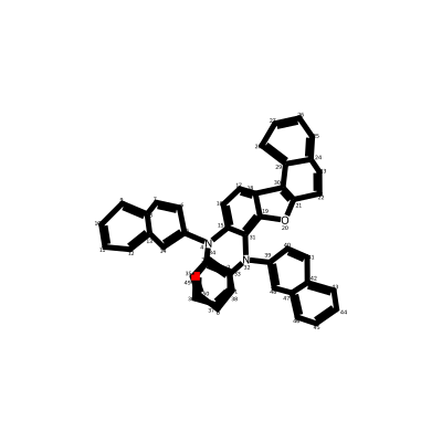 c1ccc(N(c2ccc3ccccc3c2)c2ccc3c(oc4ccc5ccccc5c43)c2N(c2ccccc2)c2ccc3ccccc3c2)cc1